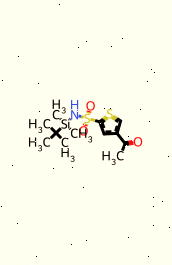 CC(=O)c1csc(S(=O)(=O)N[Si](C)(C)C(C)(C)C)c1